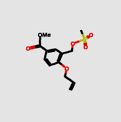 C=CCOc1ccc(C(=O)OC)cc1COS(C)(=O)=O